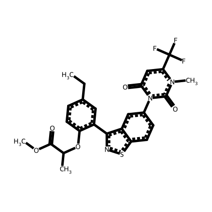 CCc1ccc(OC(C)C(=O)OC)c(-c2nsc3ccc(-n4c(=O)cc(C(F)(F)F)n(C)c4=O)cc23)c1